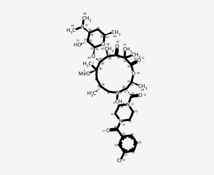 CO[C@]1(C)C[C@@H](C)CN(C)[C@@H](C(=O)N2CCN(C(=O)c3cccc(Cl)c3)CC2)[C@H](C)OC(=O)C(C)(C)C(=O)[C@H](C)[C@H]1O[C@@H]1O[C@H](C)C[C@H](N(C)C)[C@H]1O